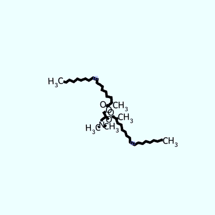 CCCCCCCC/C=C\CCCCCCC(C)C(=O)OCC(CN(C)C)OC(=O)C(C)CCCCCC/C=C\CCCCCCCC